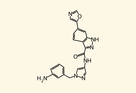 Nc1cccc(Cn2cc(NC(=O)c3n[nH]c4cc(-c5cnco5)ccc34)cn2)c1